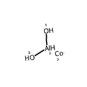 [Co].[OH][AlH][OH]